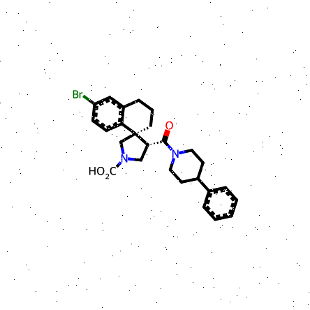 O=C(O)N1C[C@@H](C(=O)N2CCC(c3ccccc3)CC2)[C@@]2(CCCc3cc(Br)ccc32)C1